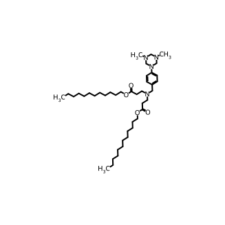 CCCCCCCCCCCCOC(=O)CCN(CCC(=O)OCCCCCCCCCCCC)Cc1ccc(N2CN(C)CN(C)C2)cc1